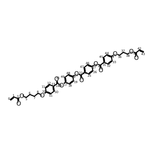 C=CC(=O)OCCCCOc1ccc(C(=O)Oc2ccc(OC(=O)c3ccc(OC(=O)c4ccc(OCCCOC(=O)C=C)cc4)cc3)cc2)cc1